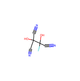 N#CC(O)(F)C(O)(C#N)C#N